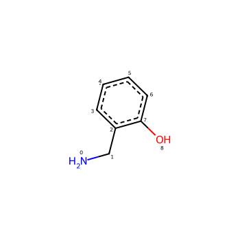 NCc1c[c]ccc1O